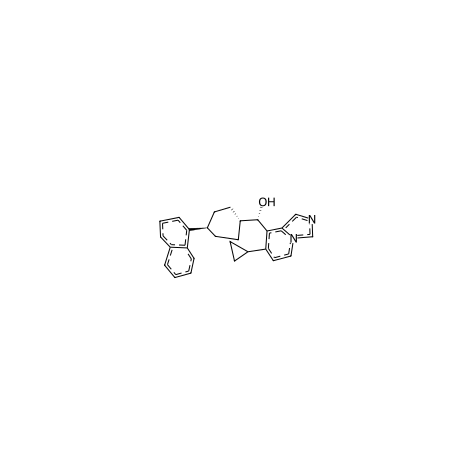 O[C@H](c1c(C2CC2)ccn2cncc12)[C@H]1CC[C@H](c2cccc3ccccc32)CC1